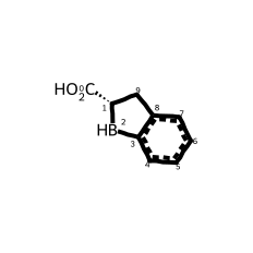 O=C(O)[C@H]1Bc2ccccc2C1